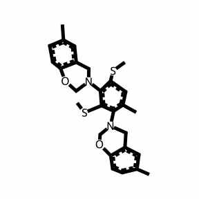 CSc1cc(C)c(N2COc3ccc(C)cc3C2)c(SC)c1N1COc2ccc(C)cc2C1